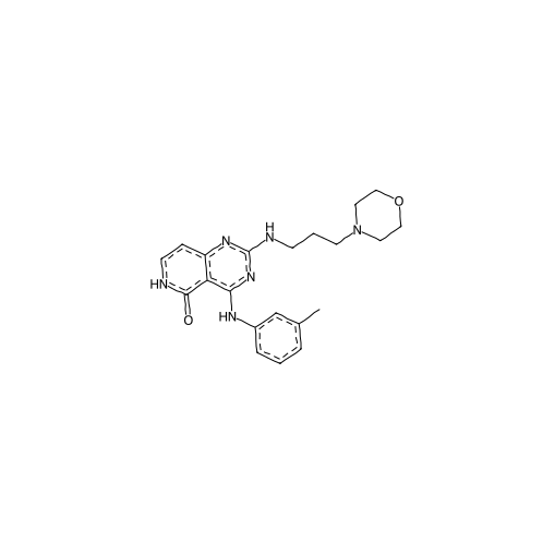 Cc1cccc(Nc2nc(NCCCN3CCOCC3)nc3cc[nH]c(=O)c23)c1